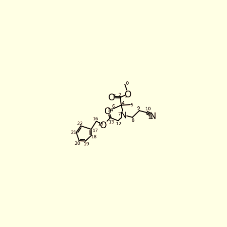 COC(=O)C(C)(C)N(CCC#N)CC(=O)OCc1ccccc1